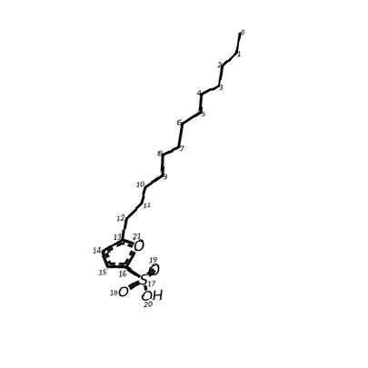 CCCCCCCCCCCCCc1ccc(S(=O)(=O)O)o1